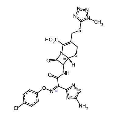 Cn1nnnc1SCC1=C(C(=O)O)N2C(=O)C(NC(=O)/C(=N\Oc3ccc(Cl)cc3)c3nsc(N)n3)[C@H]2SC1